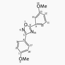 COc1ccc(-c2noc(-c3cccc(OC)c3)n2)cc1